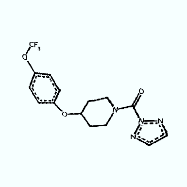 O=C(N1CCC(Oc2ccc(OC(F)(F)F)cc2)CC1)n1nccn1